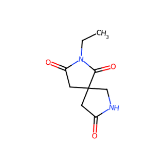 CCN1C(=O)CC2(CNC(=O)C2)C1=O